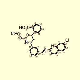 CCOO/[P+]([O-])=N/C(CCc1ccccc1C(=O)O)c1cccc(/C=C/c2ccc3ccc(Cl)cc3n2)c1